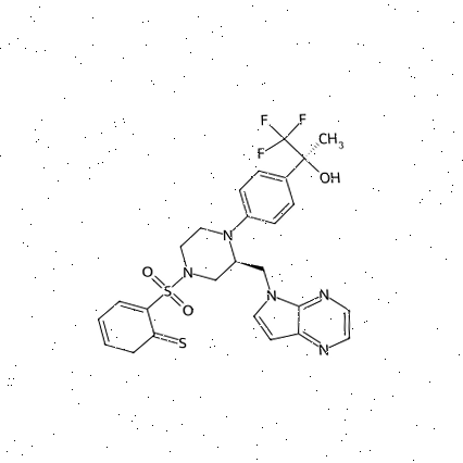 C[C@](O)(c1ccc(N2CCN(S(=O)(=O)C3=CC=CCC3=S)C[C@@H]2Cn2ccc3nccnc32)cc1)C(F)(F)F